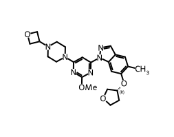 COc1nc(N2CCN(C3COC3)CC2)cc(-n2ncc3cc(C)c(O[C@@H]4CCOC4)cc32)n1